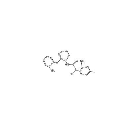 Cc1ccc(N(S)C(=O)Nc2cccnc2Oc2ccccc2C(C)(C)C)c(N)c1